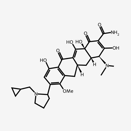 COc1c(C2CCCN2CC2CC2)cc(O)c2c1C[C@H]1C[C@H]3[C@H](N(C)C)C(O)=C(C(N)=O)C(=O)[C@@]3(O)C(O)=C1C2=O